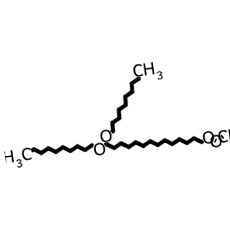 CCCCCCCCCCOC(CCCCCCCCCCCCCOOC)OCCCCCCCCCC